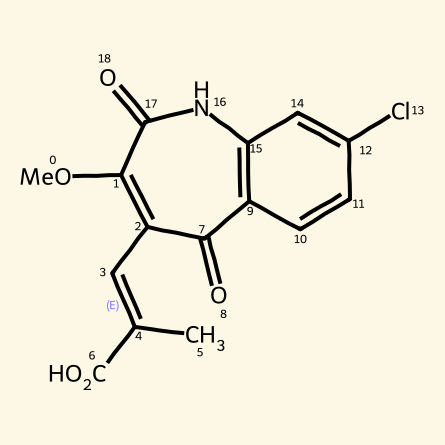 COc1c(/C=C(\C)C(=O)O)c(=O)c2ccc(Cl)cc2[nH]c1=O